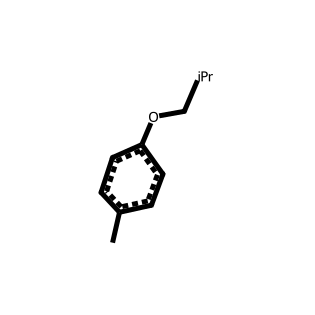 Cc1ccc(OCC(C)C)cc1